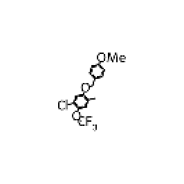 COc1ccc(COc2cc(Cl)c(OC(F)(F)F)cc2C)cc1